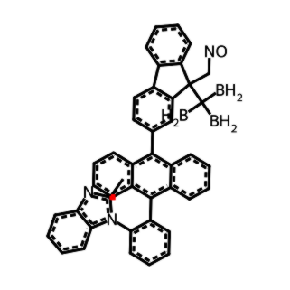 BC(B)(B)C1(CN=O)c2ccccc2-c2ccc(-c3c4ccccc4c(-c4ccccc4-n4c(C)nc5ccccc54)c4ccccc34)cc21